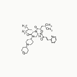 CC(C)C[C@H]1ON(C(=O)/C=C/c2ccccn2)[C@H]2CN(C3CCN(C4CCOCC4)CC3)C(=O)[C@H](CC(C)C)N2C1=O